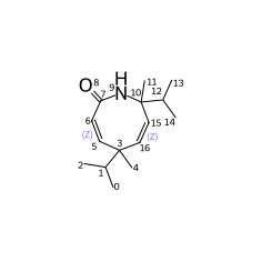 CC(C)C1(C)/C=C\C(=O)NC(C)(C(C)C)/C=C\1